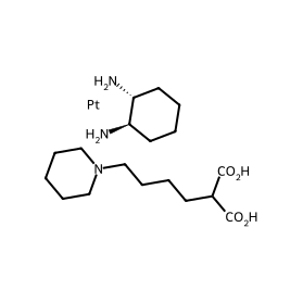 N[C@@H]1CCCC[C@H]1N.O=C(O)C(CCCCN1CCCCC1)C(=O)O.[Pt]